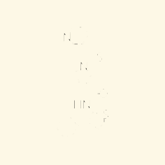 O=C(Nc1sccc1-c1ccccc1)c1ccn2c1CSC2c1cccnc1